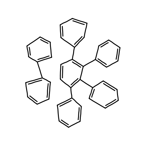 c1ccc(-c2ccc(-c3ccccc3)c(-c3ccccc3)c2-c2ccccc2)cc1.c1ccc(-c2ccccc2)cc1